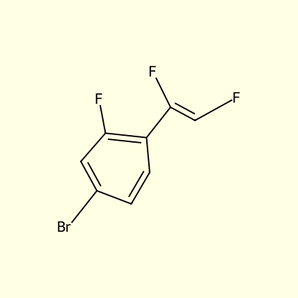 FC=C(F)c1ccc(Br)cc1F